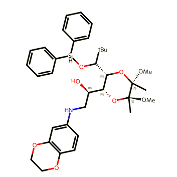 CO[C@@]1(C)O[C@H]([C@H](O)CNc2ccc3c(c2)OCCO3)[C@H](C(O[SiH](c2ccccc2)c2ccccc2)C(C)(C)C)O[C@]1(C)OC